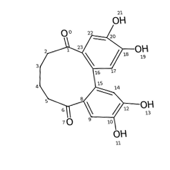 O=C1CCCCC(=O)c2cc(O)c(O)cc2-c2cc(O)c(O)cc21